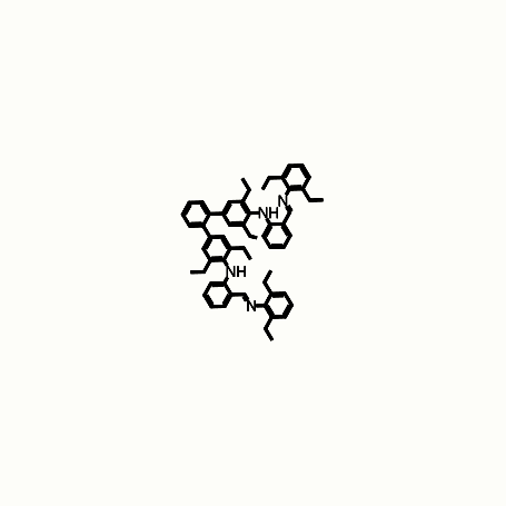 CCc1cccc(CC)c1/N=C/c1ccccc1Nc1c(CC)cc(-c2ccccc2-c2cc(CC)c(Nc3ccccc3/C=N/c3c(CC)cccc3CC)c(CC)c2)cc1CC